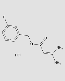 Cl.NC(N)=CC(=O)OCc1cccc(F)c1